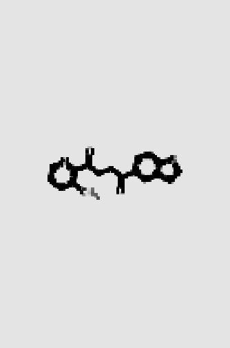 Cc1cccnc1C(=O)CCC(=O)c1ccc2sccc2c1